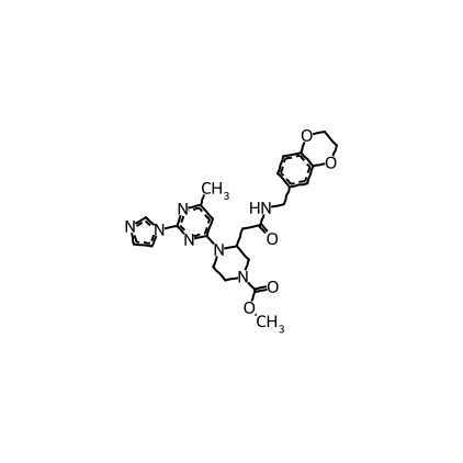 COC(=O)N1CCN(c2cc(C)nc(-n3ccnc3)n2)C(CC(=O)NCc2ccc3c(c2)OCCO3)C1